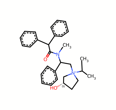 CC(C)[N+]1(CC(c2ccccc2)N(C)C(=O)C(c2ccccc2)c2ccccc2)CC[C@H](O)C1